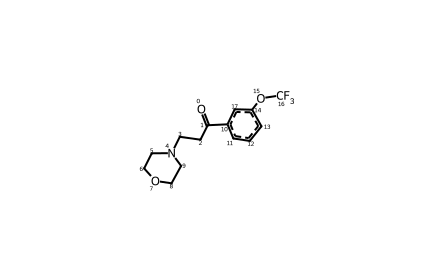 O=C(CCN1CCOCC1)c1cccc(OC(F)(F)F)c1